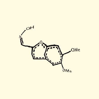 COc1cc2cc(/C=N\O)oc2cc1OC